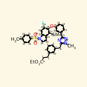 CCOC(=O)CCc1cccc(Cc2nc(-c3cccc(Oc4c(F)cc5c(ccn5S(=O)(=O)c5ccc(C)cc5)c4SC)c3)nn2C)c1